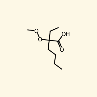 CCCCC(CC)(OOC)C(=O)O